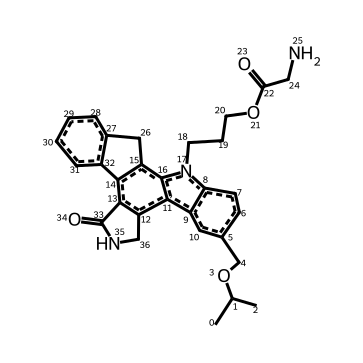 CC(C)OCc1ccc2c(c1)c1c3c(c4c(c1n2CCCOC(=O)CN)Cc1ccccc1-4)C(=O)NC3